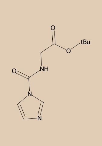 CC(C)(C)OC(=O)CNC(=O)n1ccnc1